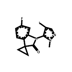 Cn1ncc(I)c1N1C(=O)C2(CC2)c2ccc(F)cc21